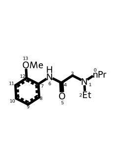 CCCN(CC)CC(=O)Nc1ccccc1OC